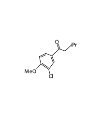 COc1ccc(C(=O)CC(C)C)cc1Cl